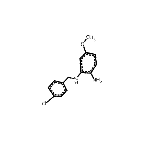 COc1ccc(N)c(NCc2ccc(Cl)cc2)c1